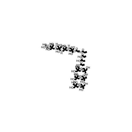 C=CC(=O)O.C=CC(=O)O.C=CC(=O)O.C=CC(=O)O.C=CC(=O)O.O=P(O)(O)O.OCC(CO)(CO)COCC(CO)(CO)CO.OCC(CO)(CO)COCC(CO)(CO)CO.OCC(CO)(CO)COCC(CO)(CO)CO.OCC(CO)(CO)COCC(CO)(CO)CO.OCC(CO)(CO)COCC(CO)(CO)CO